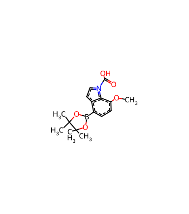 COc1ccc(B2OC(C)(C)C(C)(C)O2)c2ccn(C(=O)O)c12